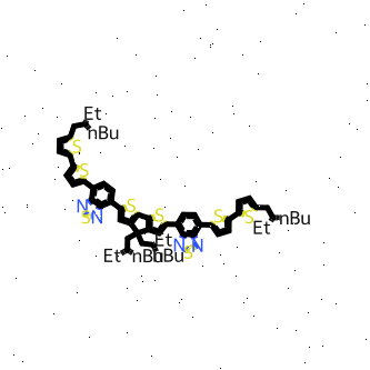 CCCCC(CC)Cc1ccc(-c2ccc(-c3ccc(-c4cc5c(s4)-c4sc(-c6ccc(-c7ccc(-c8ccc(CC(CC)CCCC)s8)s7)c7nsnc67)cc4C5(CC(CC)CCCC)CC(CC)CCCC)c4nsnc34)s2)s1